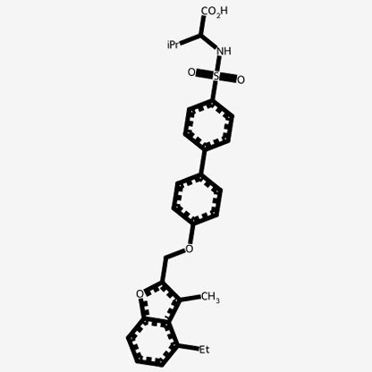 CCc1cccc2oc(COc3ccc(-c4ccc(S(=O)(=O)NC(C(=O)O)C(C)C)cc4)cc3)c(C)c12